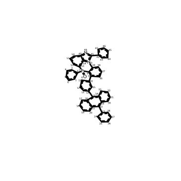 O=P1(c2ccccc2)c2c(-c3cccc(-c4c5ccccc5c(-c5ccccc5)c5ccccc45)c3)cccc2-n2c(-c3ccccc3)nc3cccc1c32